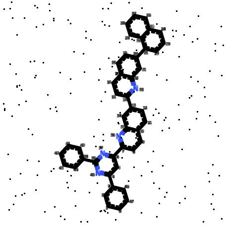 c1ccc(-c2cc(-c3ccc4ccc(-c5ccc6ccc(-c7cccc8ccccc78)cc6n5)cc4n3)nc(-c3ccccc3)n2)cc1